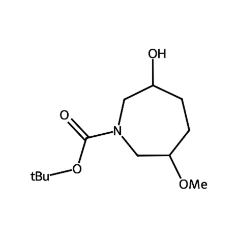 COC1CCC(O)CN(C(=O)OC(C)(C)C)C1